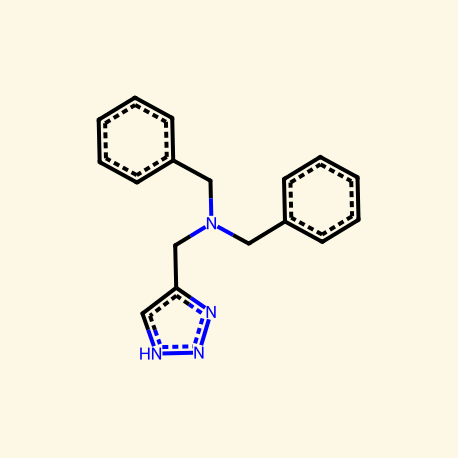 c1ccc(CN(Cc2ccccc2)Cc2c[nH]nn2)cc1